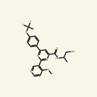 COc1ccncc1-c1nc(C(=O)NC(C)CO)cc(-c2ccc(OC(F)(F)F)cc2)n1